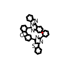 c1ccc(-c2nc(-c3ccc4oc5cccc(-c6nc7ccccc7c7nc8ccccc8n67)c5c4c3)c3sc4ccccc4c3n2)cc1